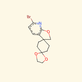 Brc1ccc2c(n1)OCC21CCC2(CC1)OCCO2